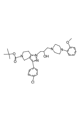 COc1ccccc1N1CCN(CC(O)Cn2nc(-c3ccc(Cl)cc3)c3c2CCN(C(=O)OC(C)(C)C)C3)CC1